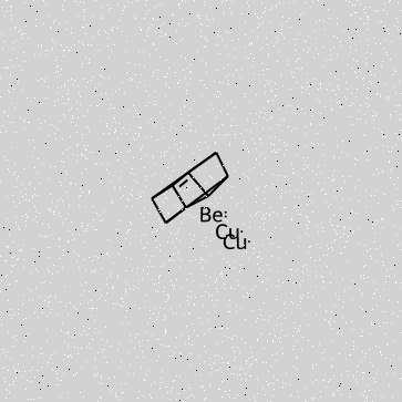 C12=C3C4C1C1C2C3C41.[Be].[Cu].[Cu]